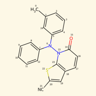 Cc1cccc(N(c2ccccc2)n2c(=O)ccc3cc(C#N)sc32)c1